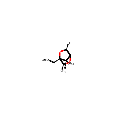 B[C@@H]1O[C@@]2(COC)[C@H](C)OC1[C@@H]2OC